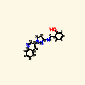 Oc1ccccc1/C=N/C1=NN(c2cnc3ccccc3c2)CC1